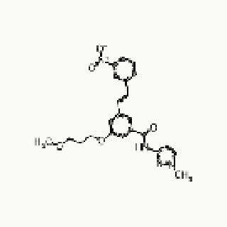 COCCCOc1cc(/C=C/c2cccc([N+](=O)[O-])c2)cc(C(=O)Nc2ccn(C)n2)c1